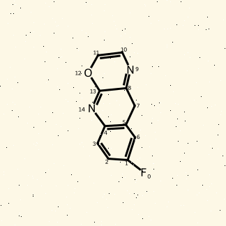 Fc1ccc2c(c1)CC1=NC=COC1=N2